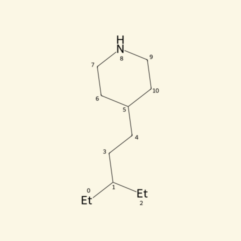 CCC(CC)CCC1CCNCC1